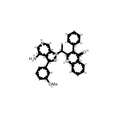 COc1cccc(-c2nn(C(C)c3oc4ccccc4c(=O)c3-c3ccccc3)c3cncc(N)c23)c1